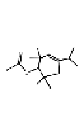 CC(=O)OC1C(C)(C)C=C(C(C)C)CC1(C)C